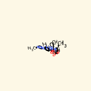 CCC[C@H]1CN(C(=O)C(CC(C)C)NC(=O)c2ccc(N3CCN(CCC)CC3)cc2)[C@@H]2C(=O)CO[C@H]12